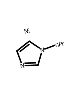 CCCn1ccnc1.[Ni]